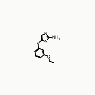 CCOc1cccc(Sc2cnc(N)s2)c1